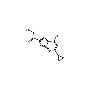 O=C(CCl)c1cn2cc(C3CC3)cc(Br)c2n1